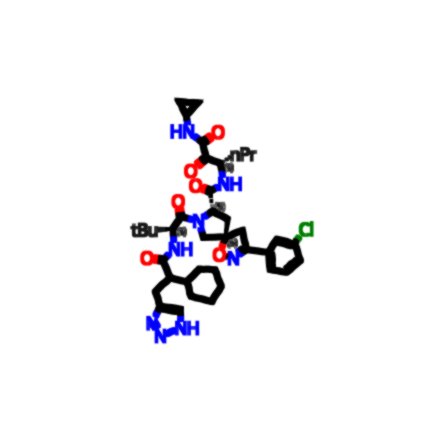 CCC[C@H](NC(=O)[C@@H]1C[C@]2(CC(c3cccc(Cl)c3)=NO2)CN1C(=O)[C@@H](NC(=O)C(Cc1c[nH]nn1)C1CCCCC1)C(C)(C)C)C(=O)C(=O)NC1CC1